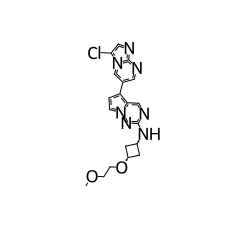 COCCO[C@H]1C[C@@H](Nc2ncc3c(-c4cnc5ncc(Cl)n5c4)ccn3n2)C1